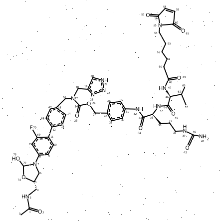 CC(=O)NC[C@H]1CN(c2ccc(-c3ccc(CN(Cc4c[nH]nn4)C(=O)OCc4ccc(NC(=O)[C@H](CCCNC(N)=O)NC(=O)[C@@H](NC(=O)CCCCCN5C(=O)C=CC5=O)C(C)C)cc4)cc3)c(F)c2)C(O)O1